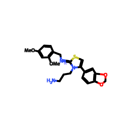 COc1ccc(C/N=c2\scc(-c3ccc4c(c3)OCO4)n2CCCN)c(OC)c1